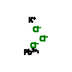 [Cl-].[Cl-].[Cl-].[K+].[Pb+2]